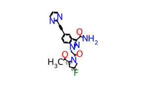 CC(=O)[C@@H]1C[C@@H](F)CN1C(=O)Cn1nc(C(N)=O)c2cc(C#Cc3ncccn3)ccc21